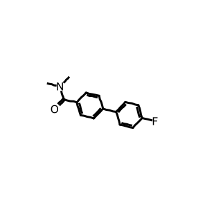 CN(C)C(=O)c1ccc(-c2ccc(F)cc2)cc1